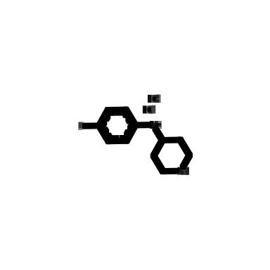 Cl.Cl.Fc1ccc(NC2CCNCC2)cc1